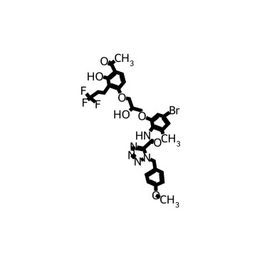 COc1ccc(Cn2nnnc2C(=O)Nc2c(C)cc(Br)cc2OCC(O)COc2ccc(C(C)=O)c(O)c2CCC(F)(F)F)cc1